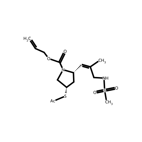 C=CCOC(=O)N1C[C@@H](SC(C)=O)C[C@H]1C=C(C)CNS(C)(=O)=O